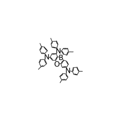 Cc1ccc(N(c2ccc(C)cc2)c2ccc3c(c2)Oc2cc(N(c4ccc(C)cc4)c4ccc(C)cc4)cc4c2B3c2cc(C)ccc2N4c2ccc(C)cc2)cc1